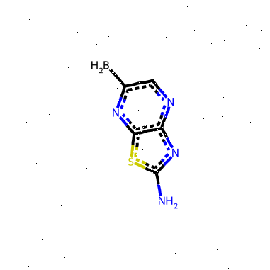 Bc1cnc2nc(N)sc2n1